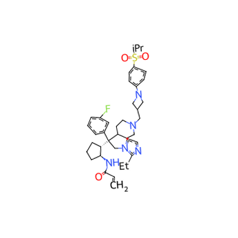 C=CC(=O)N[C@H]1CCC[C@@H]1C(Cn1ccnc1CC)(c1cccc(F)c1)C1CCN(CC2CN(c3ccc(S(=O)(=O)C(C)C)cc3)C2)CC1